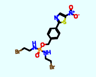 O=[N+]([O-])c1cnc(-c2ccc(COP(=O)(NCCBr)NCCBr)cc2)s1